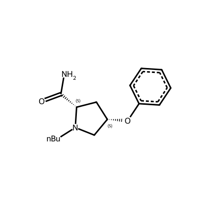 CCCCN1C[C@@H](Oc2ccccc2)C[C@H]1C(N)=O